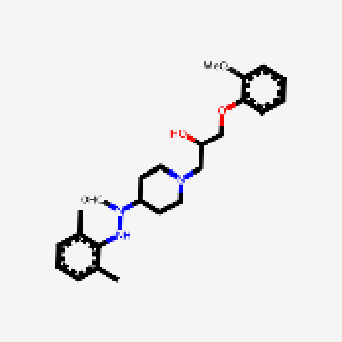 COc1ccccc1OCC(O)CN1CCC(N(C=O)Nc2c(C)cccc2C)CC1